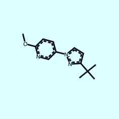 COc1ccc(-n2ccc(C(C)(C)C)n2)cn1